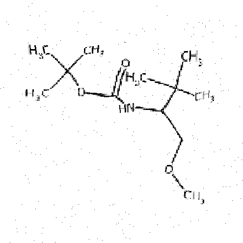 COCC(NC(=O)OC(C)(C)C)C(C)(C)C